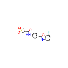 O=C(Nc1ccc(-c2nc3cccc(F)c3o2)cc1)C1CS(=O)(=O)C1